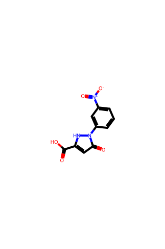 O=C(O)c1cc(=O)n(-c2cccc([N+](=O)[O-])c2)[nH]1